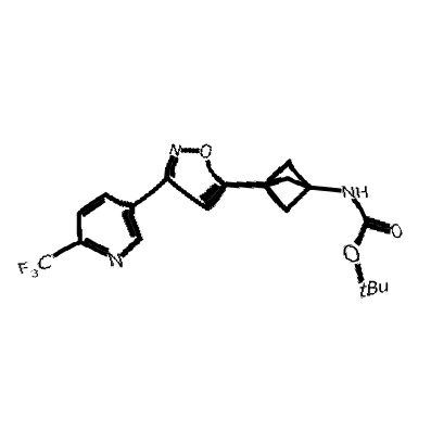 CC(C)(C)OC(=O)NC12CC(c3cc(-c4ccc(C(F)(F)F)nc4)no3)(C1)C2